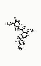 COc1ccc(S(=O)(=O)N[C@H]2CCOC2)cc1C(=O)Nc1ccc(F)c(C)n1